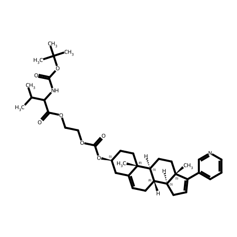 CC(C)C(NC(=O)OC(C)(C)C)C(=O)OCCOC(=O)O[C@H]1CC[C@@]2(C)C(=CC[C@@H]3[C@@H]2CC[C@]2(C)C(c4cccnc4)=CC[C@@H]32)C1